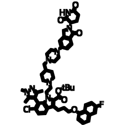 Cc1nn(C)c(C)c1-c1c(Cl)ccc2c(CCCOc3cccc4cc(F)ccc34)c(C(=O)OC(C)(C)C)n(CCN3CCC(CN4CCN(c5ccc6c(c5)CN([C@@H]5CCC(=O)NC5=O)C6=O)CC4)CC3)c12